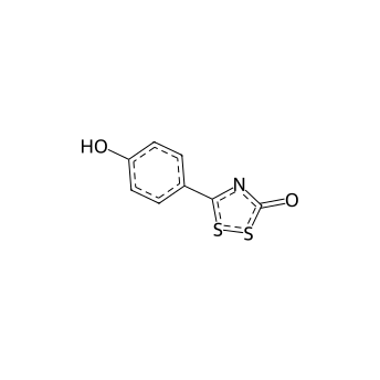 O=c1nc(-c2ccc(O)cc2)ss1